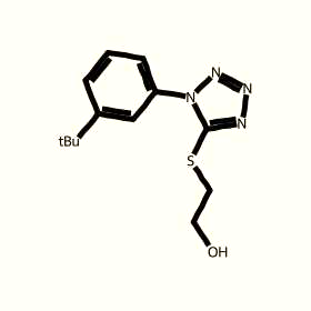 CC(C)(C)c1cccc(-n2nnnc2SCCO)c1